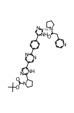 CC(C)(C)OC(=O)N1CCCC1c1ncc(-c2cnc(-c3ccc(-c4cnc([C@@H]5CCCN5C(=O)Cc5cccnc5)[nH]4)cc3)nc2)[nH]1